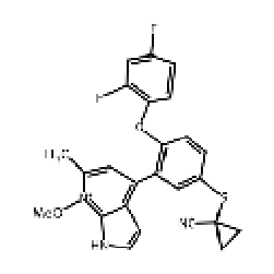 CO[n+]1c(C)cc(-c2cc(SC3(C#N)CC3)ccc2Oc2ccc(F)cc2F)c2cc[nH]c21